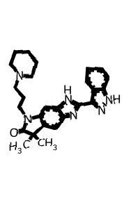 CC1(C)C(=O)N(CCCN2CCCCC2)c2cc3[nH]c(-c4n[nH]c5ccccc45)nc3cc21